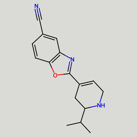 CC(C)C1CC(c2nc3cc(C#N)ccc3o2)=CCN1